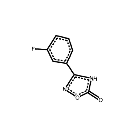 O=c1[nH]c(-c2cccc(F)c2)no1